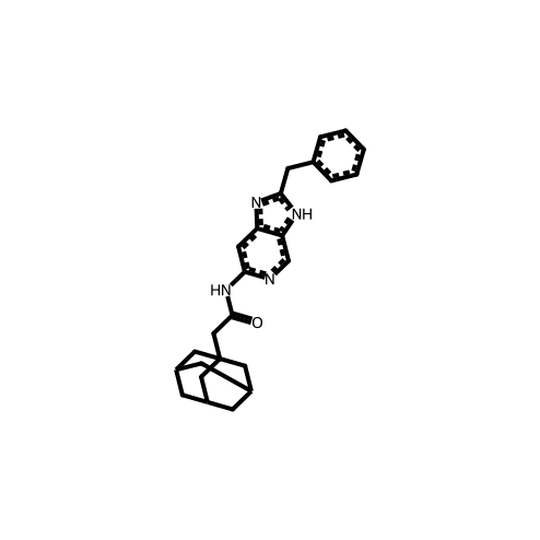 O=C(CC12CC3CC(CC(C3)C1)C2)Nc1cc2nc(Cc3ccccc3)[nH]c2cn1